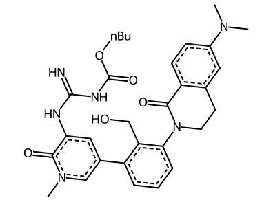 CCCCOC(=O)NC(=N)Nc1cc(-c2cccc(N3CCc4cc(N(C)C)ccc4C3=O)c2CO)cn(C)c1=O